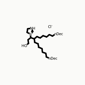 CCCCCCCCCCCCCCCCCC(CCCCCCCCCCCCCCCC)C(CCO)[N+]1=CNCC1.[Cl-]